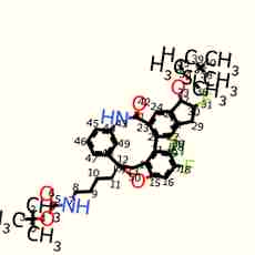 CC(C)(C)OC(=O)NCCCC[C@]12Cc3c(cc(F)c(Cl)c3-c3c(cc4c(c3F)CC(F)C4O[Si](C)(C)C(C)(C)C)C(=O)Nc3cccc1c3)O2